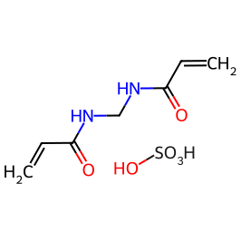 C=CC(=O)NCNC(=O)C=C.O=S(=O)(O)O